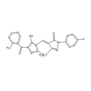 CC1=NN(c2ccc(F)cc2)C(=O)/C1=C/c1c(C)nn(C(=O)c2ccccc2C)c1O